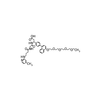 CCOCCOCCOCCOCCOc1ccc(-c2ccc(C(CC(=O)O)NC(=O)CNC(=O)CCCNc3cc(C)ccn3)cc2)c2ccccc12